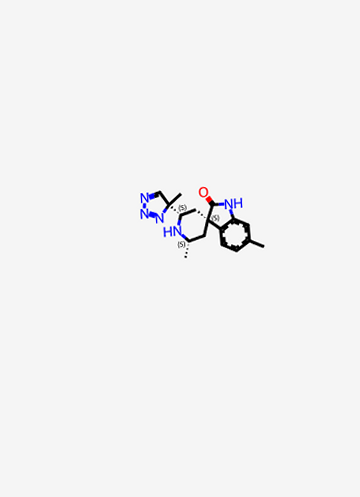 Cc1ccc2c(c1)NC(=O)[C@@]21C[C@@H](C2(C)C=NN=N2)N[C@@H](C)C1